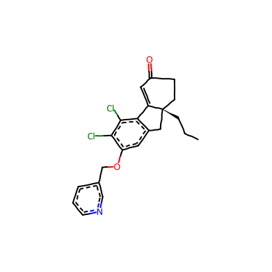 CCC[C@]12CCC(=O)C=C1c1c(cc(OCc3cccnc3)c(Cl)c1Cl)C2